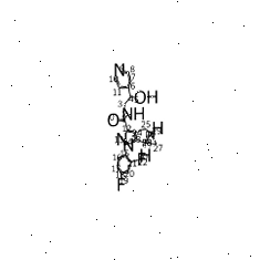 O=C(NCC(O)c1ccncc1)c1nn(-c2ccc(F)cc2F)c2c1C[C@H]1C[C@@H]21